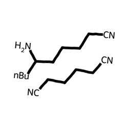 CCCCC(N)CCCCC#N.N#CCCCCC#N